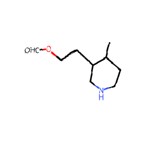 CC1CCNCC1CCOC=O